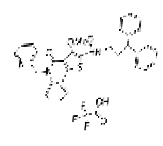 COc1c(C(=O)NCCC(c2ccccc2)c2ccccc2)sc2c1c(=O)n(Cc1ccccn1)c1ccccc21.O=C(O)C(F)(F)F